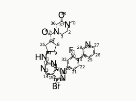 CN1CCN(C(=O)[C@@H]2CC[C@@H](Nc3ncc4c(Br)nn(-c5ccc(-c6cccnc6)c(F)c5)c4n3)C2)CC1=O